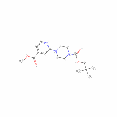 COC(=O)c1ccnc(N2CCN(C(=O)OCC(C)(C)C)CC2)c1